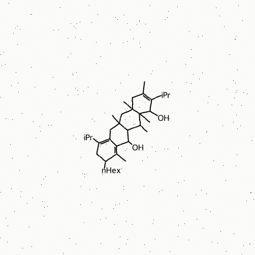 CCCCCCC1CC(C(C)C)=C2CC3(C)CC4(C)CC(C)=C(C(C)C)C(O)C4(C)C(C)C3C(O)C2=C1C